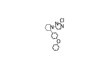 Clc1nccc(N2CCCCC2c2ccc(Oc3ccccc3)cc2)n1